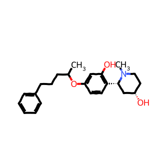 CC(CCCc1ccccc1)Oc1ccc([C@H]2C[C@@H](O)CCN2C)c(O)c1